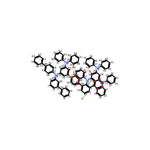 Fc1cc(-c2ccccc2)c(N2c3cc(N(c4ccccc4)c4ccccc4)cc4c3B(c3ccccc3N4c3ccccc3)c3cc4c(c(C(F)(F)F)c32)Sc2cc(N(c3ccc(-c5ccccc5)cc3)c3cccc(-c5ccccc5)c3)cc3c2B4c2ccccc2N3c2ccccc2)c(-c2ccccc2)c1